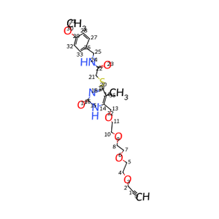 C#CCOCCOCCOCCOCc1[nH]c(=O)nc(SCC(=O)NCc2ccc(OC)cc2)c1C